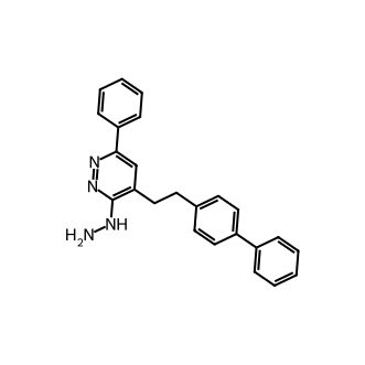 NNc1nnc(-c2ccccc2)cc1CCc1ccc(-c2ccccc2)cc1